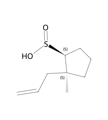 C=CC[C@]1(C)CCC[C@@H]1S(=O)O